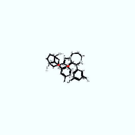 Cc1cc(N2C[C@H]3CC[C@@H](C2)C3Nc2nc3n(n2)CCCO[C@H]3c2cc(F)cc(Cl)c2)ncn1